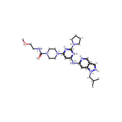 COCCNC(=O)N1CCN(c2cc(Nc3cc4c(cn3)cnn4CC(C)C)nc(N3CCCC3)n2)CC1